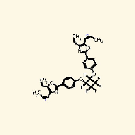 C=Cc1nc(-c2ccc(OC3(F)C(F)(F)C(F)(F)C3(F)Oc3ccc(-c4nc(/C=C\C)c(C=C)o4)cc3)cc2)oc1/C=C\C